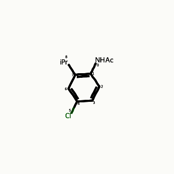 CC(=O)Nc1ccc(Cl)cc1C(C)C